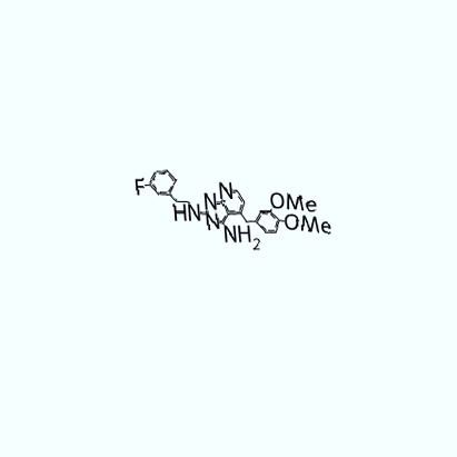 COc1ccc(Cc2ccnc3nc(NCCc4cccc(F)c4)nc(N)c23)cc1OC